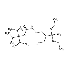 CCO[Si](C)(OCC)C(CC)CCNC(=O)O[Si](C(C)C)(C(C)C)C(C)C